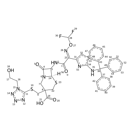 O=C(NC1C(=O)N2CC(CSc3nnnn3CCO)(C(=O)O)CS[C@H]12)C(=NOC(F)F)c1csc(NC(c2ccccc2)(c2ccccc2)c2ccccc2)n1